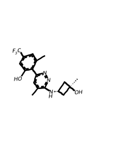 Cc1cc(-c2c(C)cc(C(F)(F)F)cc2O)nnc1N[C@H]1C[C@](C)(O)C1